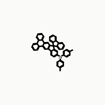 Cc1ccc(N(c2ccc(C)cc2)c2ccc3c(c2)C2(c4ccccc4-c4ccccc42)c2cc4c5ccccc5c5ccccc5c4cc2-3)cc1